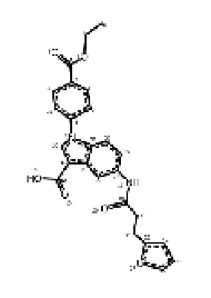 CCOC(=O)c1ccc(-n2cc(C(=O)O)c3cc(NC(=O)CCc4ccco4)ccc32)cc1